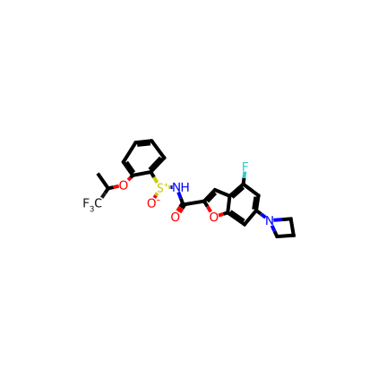 CC(Oc1ccccc1[S+]([O-])NC(=O)c1cc2c(F)cc(N3CCC3)cc2o1)C(F)(F)F